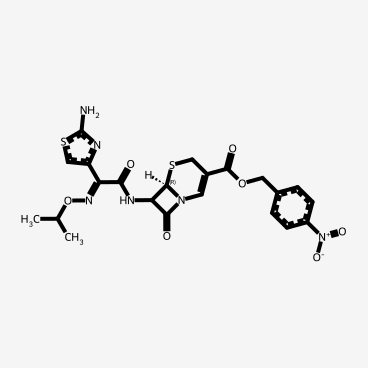 CC(C)ON=C(C(=O)NC1C(=O)N2C=C(C(=O)OCc3ccc([N+](=O)[O-])cc3)CS[C@H]12)c1csc(N)n1